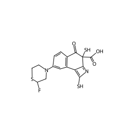 O=C(O)C1(S)C(=O)c2ccc(N3CCSC(F)C3)cc2C2=C(S)N=C21